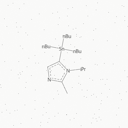 CCC[CH2][Sn]([CH2]CCC)([CH2]CCC)[c]1cnc(C)n1C(C)C